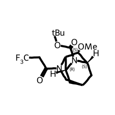 CO[C@@H]1C2[C@H]3CC(C[C@@H]1N3C(=O)OC(C)(C)C)CN2C(=O)CC(F)(F)F